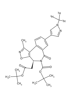 [2H]C([2H])([2H])n1cc(-c2ccc3c(c2)C(=O)N(C(=O)OC(C)(C)C)[C@@H](CC(=O)OC(C)(C)C)c2onc(C)c2-3)cn1